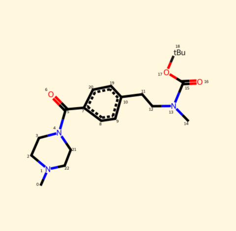 CN1CCN(C(=O)c2ccc(CCN(C)C(=O)OC(C)(C)C)cc2)CC1